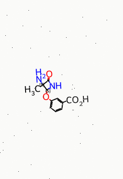 C[C@@]1(N)C(=O)N[C@H]1Oc1cccc(C(=O)O)c1